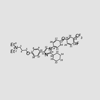 CCN(CC)CCCOc1ccc(-c2cn(C3=CCC(Oc4ccc(F)c(C(F)(F)F)c4)C=C3)c(C3CCCCC3)n2)cc1